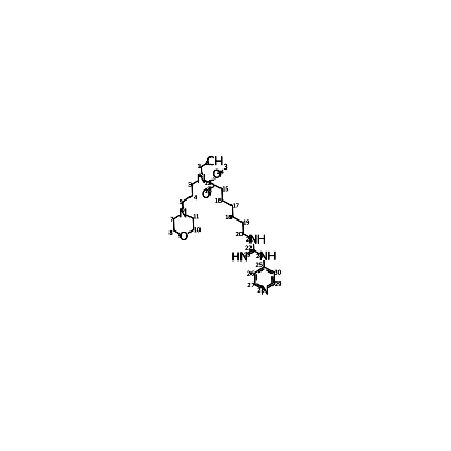 CCN(CCCN1CCOCC1)S(=O)(=O)CCCCCCNC(=N)Nc1ccncc1